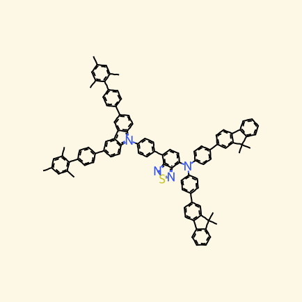 Cc1cc(C)c(-c2ccc(-c3ccc4c(c3)c3cc(-c5ccc(-c6c(C)cc(C)cc6C)cc5)ccc3n4-c3ccc(-c4ccc(N(c5ccc(-c6ccc7c(c6)C(C)(C)c6ccccc6-7)cc5)c5ccc(-c6ccc7c(c6)C(C)(C)c6ccccc6-7)cc5)c5nsnc45)cc3)cc2)c(C)c1